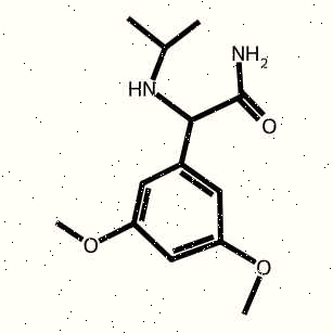 COc1cc(OC)cc(C(NC(C)C)C(N)=O)c1